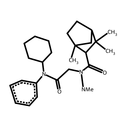 CNN(CC(=O)N(c1ccccc1)C1CCCCC1)C(=O)C1C2(C)CCC(C2)C1(C)C